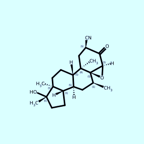 C[C@H]1C[C@H]2[C@@H]3CC[C@](C)(O)[C@@]3(C)CC[C@@H]2[C@@]2(C)C[C@@H](C#N)C(=O)[C@H]3O[C@@]312